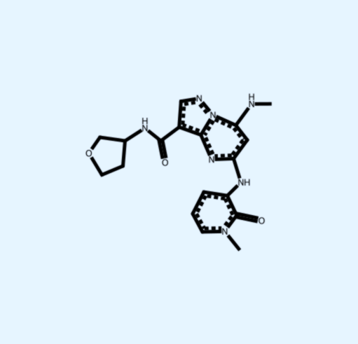 CNc1cc(Nc2cccn(C)c2=O)nc2c(C(=O)NC3CCOC3)cnn12